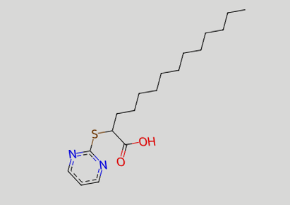 CCCCCCCCCCCCC(Sc1ncccn1)C(=O)O